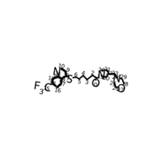 O=C(CCCCCSc1ccnc2cc(C(F)(F)F)ccc12)N1CCC(CN2CCOCC2)C1